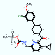 COc1ccc(C2CCC(C(=O)c3nc(CNC(=O)OC(C)(C)C)ccc3C3CC3)CC2)cc1Cl